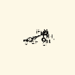 C=CC(=O)N1CC[C@H](N2CC(C#Cc3c(-c4ccc(Cl)c(CC)c4)c4c(N)ncnc4n3C(C)C)C2)[C@H](O)C1